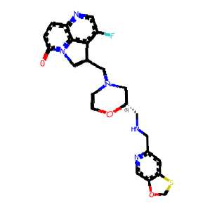 O=c1ccc2ncc(F)c3c2n1CC3CN1CCO[C@@H](CNCc2cc3c(cn2)OCS3)C1